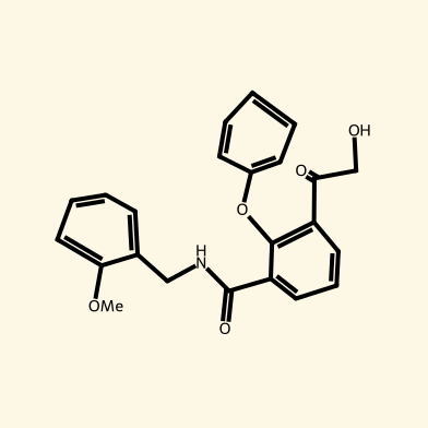 COc1ccccc1CNC(=O)c1cccc(C(=O)CO)c1Oc1ccccc1